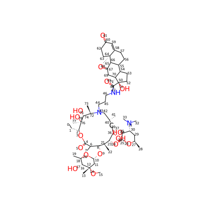 CC[C@H]1OC(=O)C(C)[C@@H](O[C@@H]2C[C@](C)(OC)[C@H](O)C(C)O2)[C@H](C)[C@@H](O[C@@H]2O[C@H](C)C[C@@H](N(C)C)[C@H]2O)[C@](C)(O)C[C@@H](C)CN(CCCNC(=O)[C@@]2(O)CCC3C4CCC5=CC(=O)CC[C@]5(C)C4C(=O)C[C@@]32C)[C@H](C)[C@@H](O)[C@]1(C)O